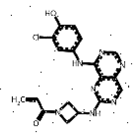 C=CC(=O)N1CC(Nc2ncc3ncnc(Nc4ccc(O)c(Cl)c4)c3n2)C1